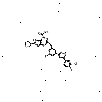 NC(=O)c1nc(Cc2cc(F)cc(-c3cnn(-c4ccc(F)c(Cl)c4)c3)c2)nc2nc(C3CCCC3)[nH]c12